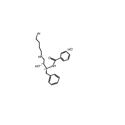 CC(C)CCCCNC[C@@H](O)[C@H](Cc1ccccc1)NC(=O)c1ccccc1.Cl